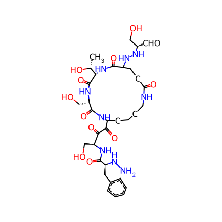 C[C@@H](O)[C@@H]1NC(=O)C(NN[C@H](C=O)CO)CCC(=O)NCCCCC(C(=O)C(=O)[C@H](CO)NC(=O)[C@H](Cc2ccccc2)NN)NC(=O)[C@H](CO)NC1=O